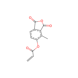 C=CC(=O)Oc1ccc2c(c1C)C(=O)OC2=O